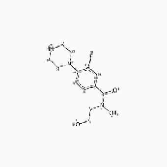 CN(CCO)C(=O)c1ccc(N2CCNCC2)c(F)c1